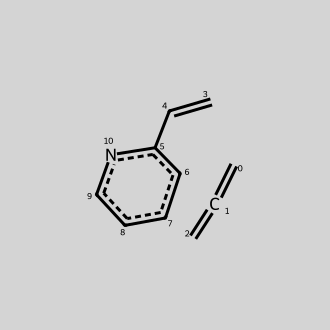 C=C=C.C=Cc1ccccn1